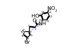 O=C(/C=C/c1cc(Br)cs1)Nc1ccc([N+](=O)[O-])cc1O